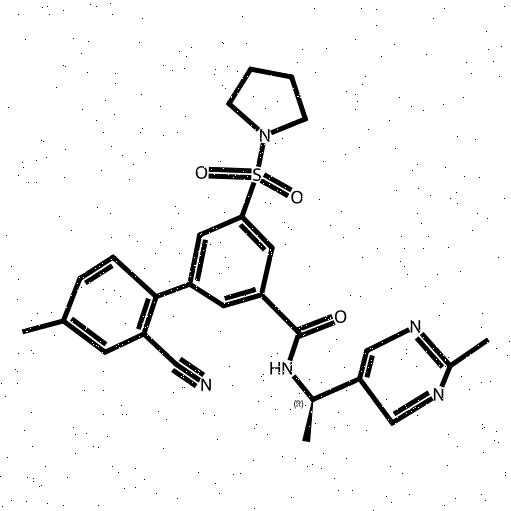 Cc1ccc(-c2cc(C(=O)N[C@H](C)c3cnc(C)nc3)cc(S(=O)(=O)N3CCCC3)c2)c(C#N)c1